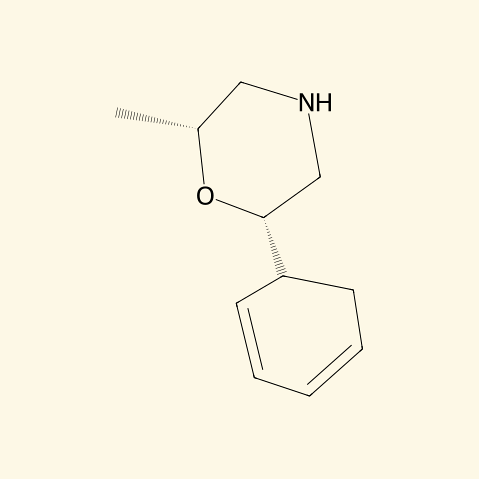 C[C@@H]1CNC[C@H](C2C=CC=CC2)O1